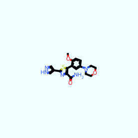 COc1ccc(N2CCOCC2)cc1-c1sc(-c2cn[nH]c2)nc1C(N)=O